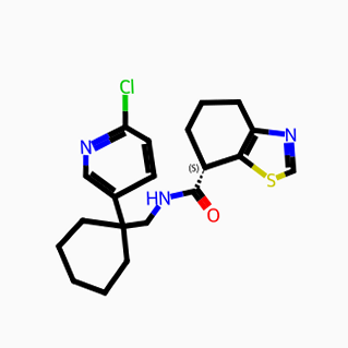 O=C(NCC1(c2ccc(Cl)nc2)CCCCC1)[C@@H]1CCCc2ncsc21